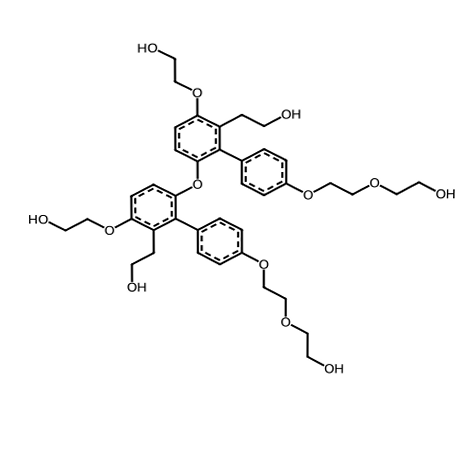 OCCOCCOc1ccc(-c2c(Oc3ccc(OCCO)c(CCO)c3-c3ccc(OCCOCCO)cc3)ccc(OCCO)c2CCO)cc1